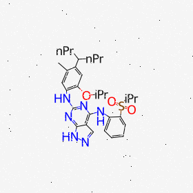 CCCC(CCC)c1cc(OC(C)C)c(Nc2nc(Nc3ccccc3S(=O)(=O)C(C)C)c3cn[nH]c3n2)cc1C